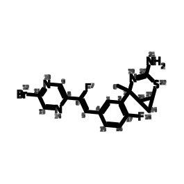 CC1(c2cc(C=C(F)c3cnc(Br)cn3)ccc2F)N=C(N)SC2CC21